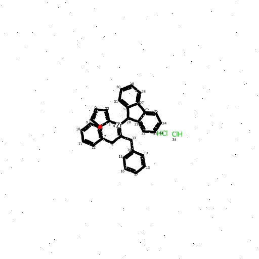 C1=CC[C]([Zr](=[C](Cc2ccccc2)Cc2ccccc2)[CH]2c3ccccc3-c3ccccc32)=C1.Cl.Cl